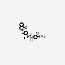 CSc1ccc(NC(=O)N(S)c2ccc(NC(=O)c3ccccc3F)c(C)c2)cc1Cl